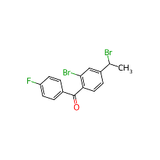 CC(Br)c1ccc(C(=O)c2ccc(F)cc2)c(Br)c1